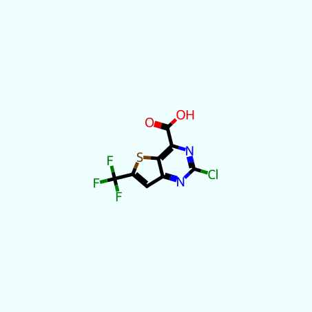 O=C(O)c1nc(Cl)nc2cc(C(F)(F)F)sc12